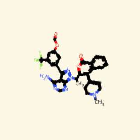 CC(c1oc(=O)c2ccccc2c1C1=CCN(C)CC1)n1nc(-c2cc(OC=O)cc(C(F)(F)F)c2)c2c(N)ncnc21